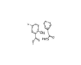 COC(=O)c1cc(F)ccc1O.O=C(O)c1ccccc1